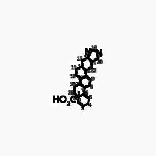 O=C(O)C12C=CCC=C1c1ccc3c(ccc4cc5ncncc5cc43)c1C=C2